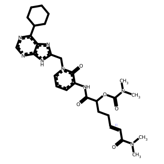 CN(C)C(=O)/C=C/CCC(OC(=O)N(C)C)C(=O)Nc1cccn(Cc2nc3c(C4CCCCC4)ncnc3[nH]2)c1=O